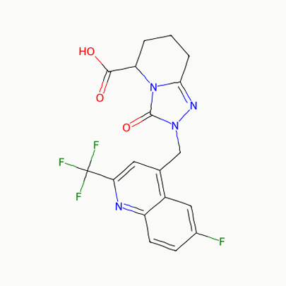 O=C(O)C1CCCc2nn(Cc3cc(C(F)(F)F)nc4ccc(F)cc34)c(=O)n21